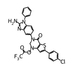 Nc1nc2cc(N3CN(OC(=O)C(F)(F)F)c4cc(-c5ccc(Cl)cc5)sc4C3=O)ccc2n1-c1ccccc1